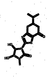 CC(C)C1CC(=O)c2sc(N3C(=O)N(C)C(O)C3O)nc2C1